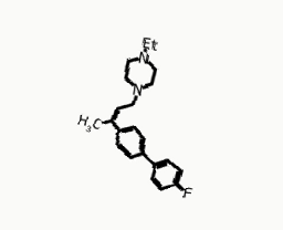 CCN1CCN(CC=C(C)c2ccc(-c3ccc(F)cc3)cc2)CC1